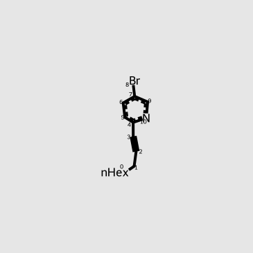 CCCCCCCC#Cc1ccc(Br)cn1